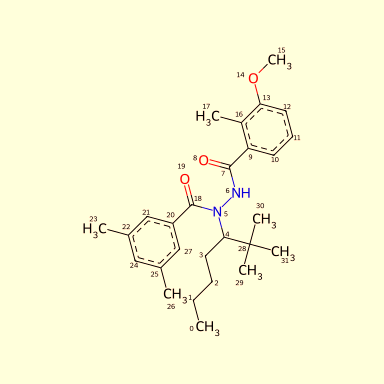 CCCCC(N(NC(=O)c1cccc(OC)c1C)C(=O)c1cc(C)cc(C)c1)C(C)(C)C